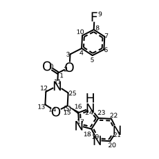 O=C(OCc1cccc(F)c1)N1CCO[C@H](c2nc3ncncc3[nH]2)C1